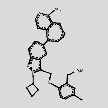 CCOC(=O)Cc1cc(C)ccc1OCc1c2cc(-c3cccc4c(N)nccc34)ccc2nn1C1CCC1